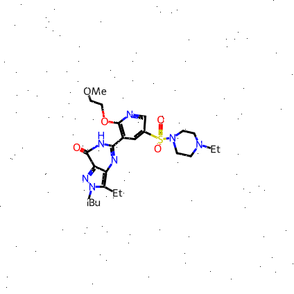 CCc1c2nc(-c3cc(S(=O)(=O)N4CCN(CC)CC4)cnc3OCCOC)[nH]c(=O)c2nn1C(C)CC